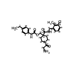 CCc1ccc(NC(=O)OCC2(C(=O)NCc3cccc(Cl)c3C)CCN(C(=O)CN)CC2)cc1